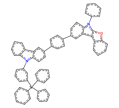 c1ccc(-n2c3ccc(-c4ccc(-c5ccc6c(c5)c5ccccc5n6-c5cccc([Si](c6ccccc6)(c6ccccc6)c6ccccc6)c5)cc4)cc3c3c4ccccc4oc32)cc1